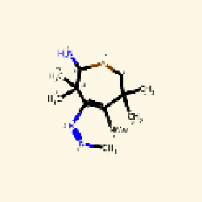 C/N=N\C1=C(NC)C(C)(C)CSC(N)C1(C)C